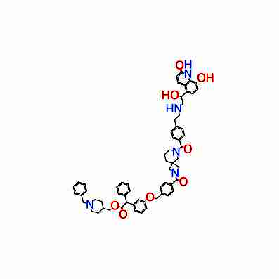 O=C(OCC1CCN(Cc2ccccc2)CC1)C(c1ccccc1)c1cccc(OCc2ccc(C(=O)N3CC4(CCCN(C(=O)c5ccc(CCNCC(O)c6ccc(O)c7[nH]c(=O)ccc67)cc5)C4)C3)cc2)c1